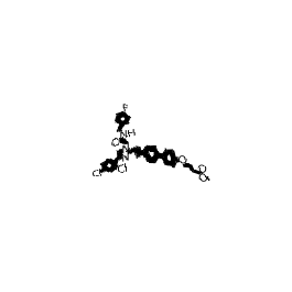 COC(=O)CCCOc1ccc(-c2ccc(/C=C/c3nc(-c4ccc(Cl)cc4Cl)cn3CC(=O)NCc3ccc(F)cc3)cc2)cc1